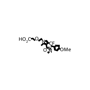 C=NN(Cc1ccc(OC)cc1)C(=O)c1c(C(F)(F)F)cn(CCOCCC(=O)O)c1C